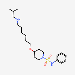 CC(C)CNCCCCCCOC1CCN(S(=O)(=O)Nc2ccccc2)CC1